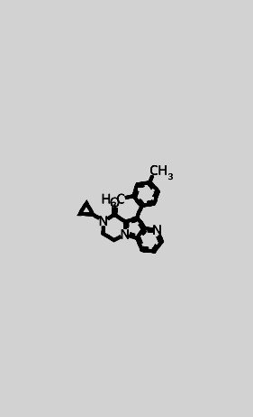 Cc1ccc(-c2c3n(c4cccnc24)CCN(C2CC2)C3=O)c(C)c1